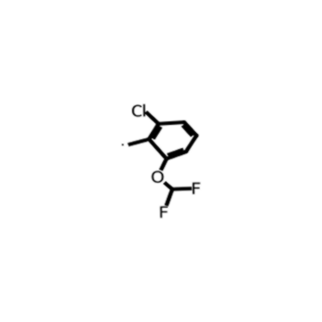 [CH2]c1c(Cl)cccc1OC(F)F